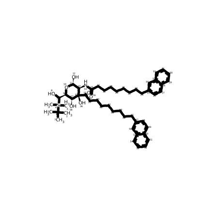 CC(C)(C)[Si](C)(C)C(O)[C@H]1O[C@H](O)[C@@H](NC(=O)CCCCCCCCc2ccc3ccccc3c2)[C@](O)(C(=O)CCCCCCCCc2ccc3ccccc3c2)[C@@H]1O